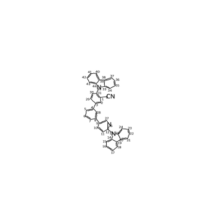 N#Cc1cc(-c2cccc(-c3ccc(-n4c5ccccc5c5ccccc54)nc3)c2)ccc1-n1c2ccccc2c2ccccc21